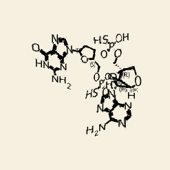 Nc1nc2c(ncn2[C@H]2CC[C@@H](COP(=O)(S)O[C@H]3[C@H]4OC[C@]3(COP(=O)(O)S)O[C@H]4n3cnc4c(N)ncnc43)O2)c(=O)[nH]1